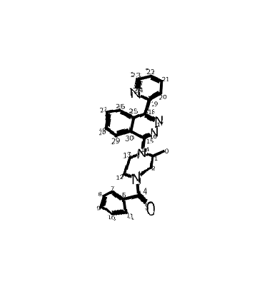 CC1CN(C(=O)c2ccccc2)CCN1c1nnc(-c2ccccn2)c2ccccc12